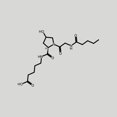 CCCCC(=O)NCC(=O)N1CC(O)C[C@@H]1C(=O)NCCCCC(=O)O